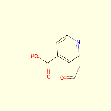 CC=O.O=C(O)c1ccncc1